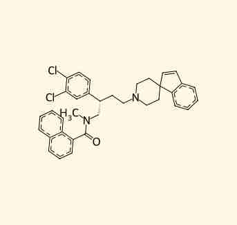 CN(C[C@@H](CCN1CCC2(C=Cc3ccccc32)CC1)c1ccc(Cl)c(Cl)c1)C(=O)c1cccc2ccccc12